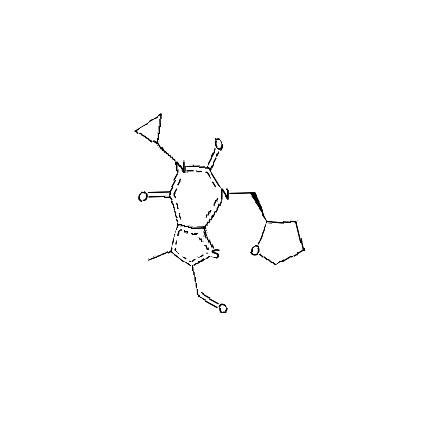 Cc1c(C=O)sc2c1c(=O)n(C1CC1)c(=O)n2C[C@H]1CCCO1